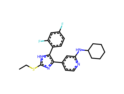 CCSc1nc(-c2ccnc(NC3CCCCC3)c2)c(-c2ccc(F)cc2F)[nH]1